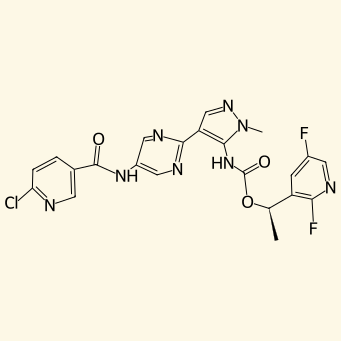 C[C@@H](OC(=O)Nc1c(-c2ncc(NC(=O)c3ccc(Cl)nc3)cn2)cnn1C)c1cc(F)cnc1F